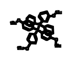 CC(C)(C)Oc1ccc(S(c2ccc(OC(C)(C)C)cc2)(c2ccc(OC(C)(C)C)cc2)S(c2ccccc2)(c2ccccc2)c2cccc(OC(C)(C)C)c2)cc1